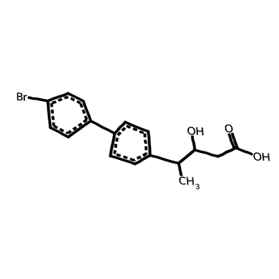 CC(c1ccc(-c2ccc(Br)cc2)cc1)C(O)CC(=O)O